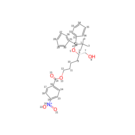 CC(C)(C)[Si](O[C@H](CO)CCCCOC(=O)c1ccc([N+](=O)[O-])cc1)(c1ccccc1)c1ccccc1